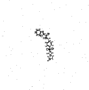 CN1CCC2(C1)CN(S(=O)(=O)c1ccc(CNC(=O)c3cc4ccncc4o3)cc1)C2